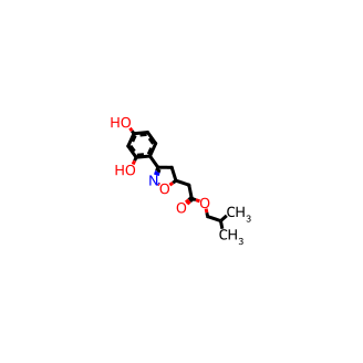 CC(C)COC(=O)CC1CC(c2ccc(O)cc2O)=NO1